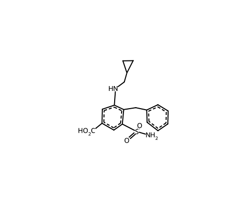 NS(=O)(=O)c1cc(C(=O)O)cc(NCC2CC2)c1Cc1ccccc1